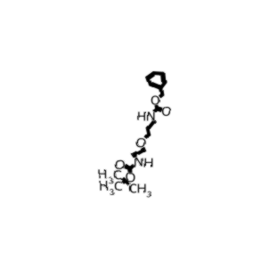 CC(C)(C)OC(=O)NCCOCCCNC(=O)OCc1ccccc1